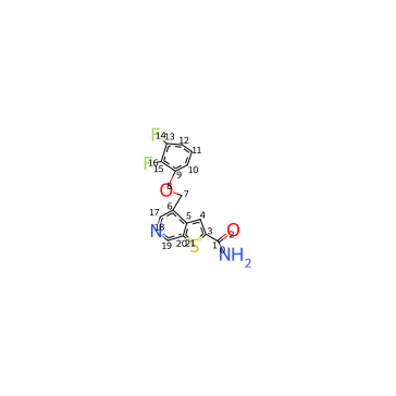 NC(=O)c1cc2c(COc3cccc(F)c3F)cncc2s1